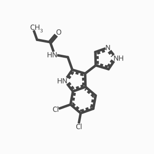 CCC(=O)NCc1[nH]c2c(Cl)c(Cl)ccc2c1-c1cn[nH]c1